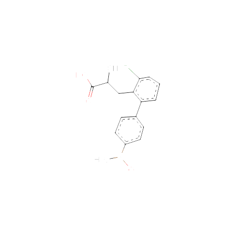 CC(Cc1c(F)cccc1-c1ccc([S+](C)[O-])cc1)C(=O)O